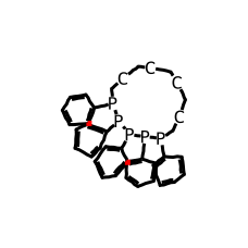 c1ccc(P2CCCCCCCCCP(c3ccccc3)P(c3ccccc3)P(c3ccccc3)P2c2ccccc2)cc1